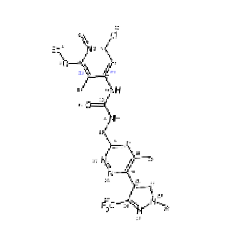 C=N/C(OCC)=C(C)\C(=C/CCl)NC(=O)NCc1cc(C)c(-c2cn(C)nc2C(F)(F)F)nn1